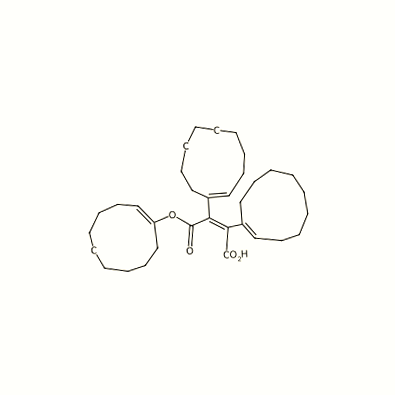 O=C(O)C(=C(C(=O)O/C1=C/CCCCCCCC1)/C1=C/CCCCCCCC1)/C1=C/CCCCCCCC1